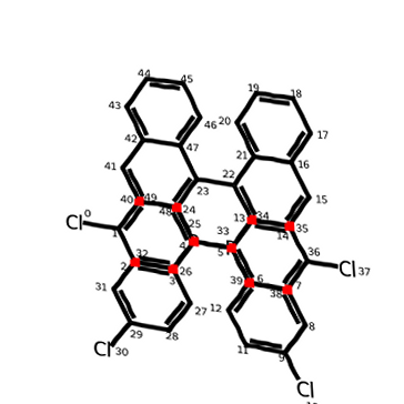 Clc1ccc(P(c2ccc(Cl)cc2)c2ccc3ccccc3c2-c2c(P(c3ccc(Cl)cc3)c3ccc(Cl)cc3)ccc3ccccc23)cc1